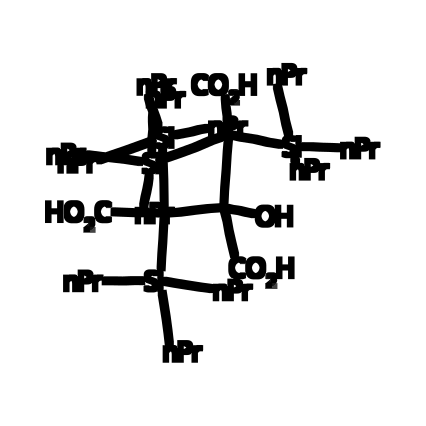 CCC[Si](CCC)(CCC)C(C(=O)O)(C(O)(C(=O)O)C(C(=O)O)([Si](CCC)(CCC)CCC)[Si](CCC)(CCC)CCC)[Si](CCC)(CCC)CCC